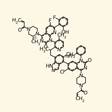 C=CC(=O)N1CCN(c2nc(=O)n(-c3ccccc3CCC)c3cc(-c4c(C)cc(CC(C)c5nccc(C)c5-n5c(=O)nc(N6CCN(C(=O)C=C)C[C@@H]6C)c6cc(F)c(-c7c(O)cccc7F)nc65)c5[nH]ncc45)c(Cl)cc23)CC1